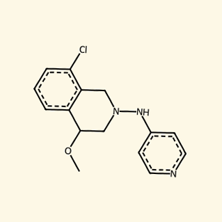 COC1CN(Nc2ccncc2)Cc2c(Cl)cccc21